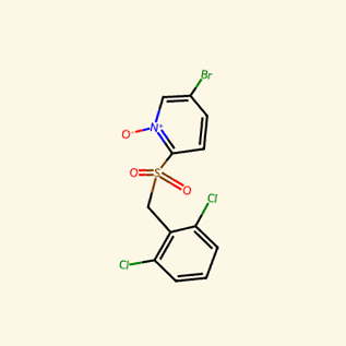 O=S(=O)(Cc1c(Cl)cccc1Cl)c1ccc(Br)c[n+]1[O-]